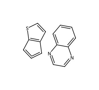 C1=Cc2ccsc2C=1.c1ccc2nccnc2c1